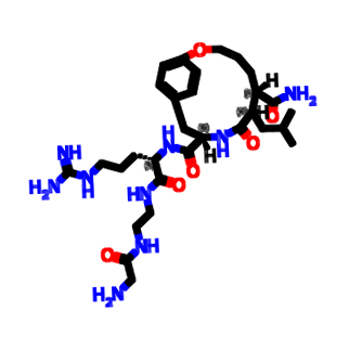 CC(C)C[C@H]1C(=O)N[C@H](C(=O)N[C@@H](CCCNC(=N)N)C(=O)NCCNC(=O)CN)Cc2ccc(cc2)OCCC[C@@H]1C(N)=O